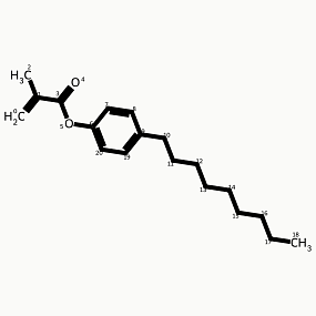 C=C(C)C(=O)Oc1ccc(CCCCCCCCC)cc1